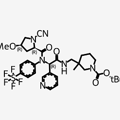 CO[C@@H]1C[C@H](C(=O)N(c2ccc(S(F)(F)(F)(F)F)cc2)[C@@H](C(=O)NCC2(C)CCCN(C(=O)OC(C)(C)C)C2)c2cccnc2)N(C#N)C1